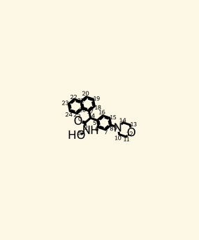 O=C(NO)C(c1ccc(N2CCOCC2)cc1)c1cccc2ccccc12